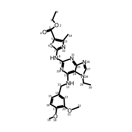 CCOC(=O)c1sc(Nc2nc(NCc3ccc(OC)c(OC)c3)c3c(ncn3CC)n2)nc1C